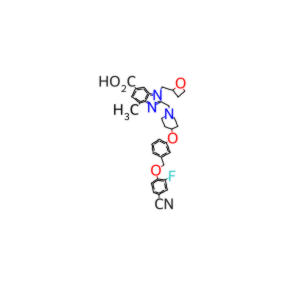 Cc1cc(C(=O)O)cc2c1nc(CN1CCC(Oc3cccc(COc4ccc(C#N)cc4F)c3)CC1)n2CC1CCO1